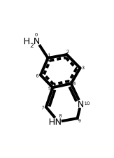 Nc1ccc2c(c1)=CNCN=2